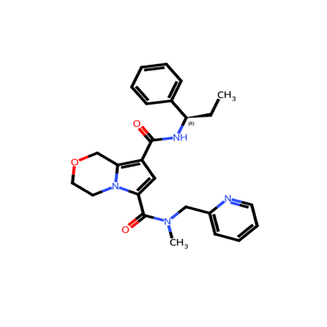 CC[C@@H](NC(=O)c1cc(C(=O)N(C)Cc2ccccn2)n2c1COCC2)c1ccccc1